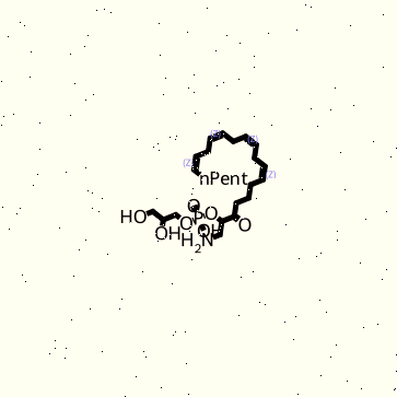 CCCCC/C=C\C/C=C\C/C=C\C/C=C\CCCC(=O)C(CN)OP(=O)(O)OCC(O)CO